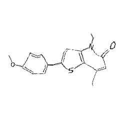 COc1ccc(-c2cc3c(s2)c(C)cc(=O)n3C)cc1